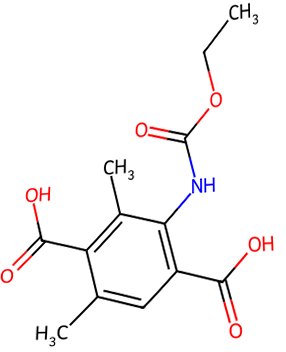 CCOC(=O)Nc1c(C(=O)O)cc(C)c(C(=O)O)c1C